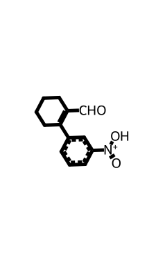 O=CC1=C(c2cccc([N+](=O)O)c2)CCCC1